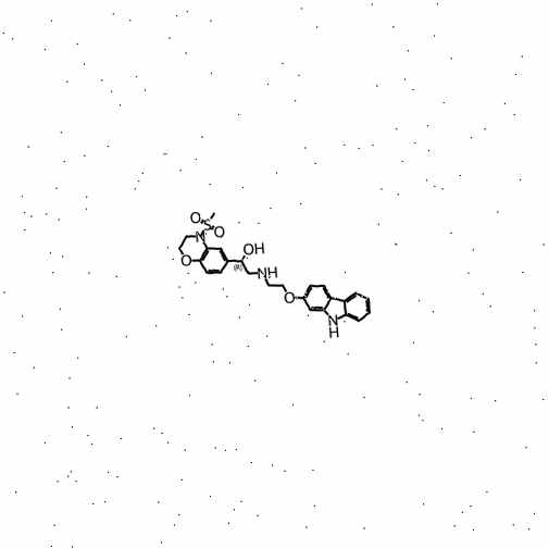 CS(=O)(=O)N1CCOc2ccc([C@@H](O)CNCCOc3ccc4c(c3)[nH]c3ccccc34)cc21